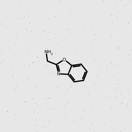 NCc1nc2ccccc2o1